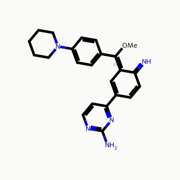 CO/C(=C1/C=C(c2ccnc(N)n2)C=CC1=N)c1ccc(N2CCCCC2)cc1